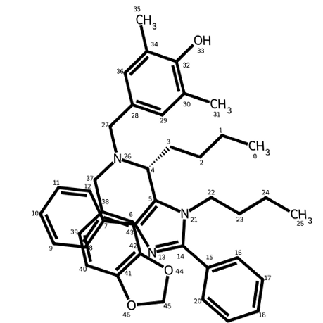 CCCC[C@H](c1c(-c2ccccc2)nc(-c2ccccc2)n1CCCC)N(Cc1cc(C)c(O)c(C)c1)Cc1ccc2c(c1)OCO2